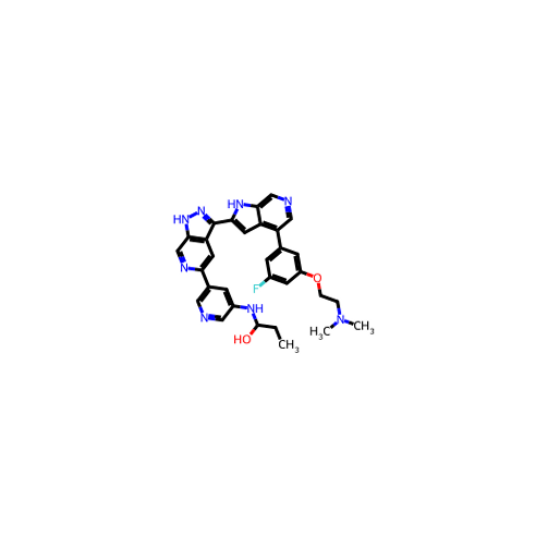 CCC(O)Nc1cncc(-c2cc3c(-c4cc5c(-c6cc(F)cc(OCCN(C)C)c6)cncc5[nH]4)n[nH]c3cn2)c1